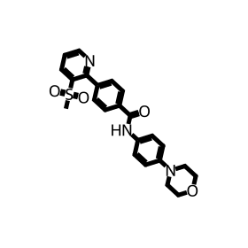 CS(=O)(=O)c1cccnc1-c1ccc(C(=O)Nc2ccc(N3CCOCC3)cc2)cc1